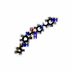 O=C(NC1CCN(CCC2CCNCC2)CC1)c1nc2ccc(NSc3cccs3)cc2s1